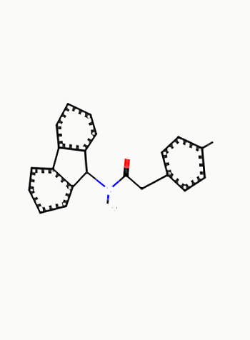 CON(C(=O)Cc1ccc(C(=O)O)cc1)C1c2ccccc2-c2ccccc21